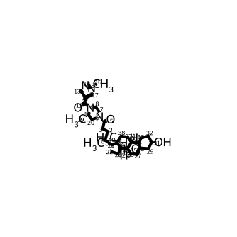 C[C@H](CCC(=O)N1CCN(C(=O)c2cnn(C)c2)[C@@H](C)C1)[C@H]1CC[C@H]2[C@@H]3CC=C4C[C@@H](O)CC[C@]4(C)[C@H]3CC[C@]12C